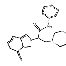 O=C1CC=CC2=CN(C(CC3CCCCC3)C(=O)Nc3ccncn3)CC12